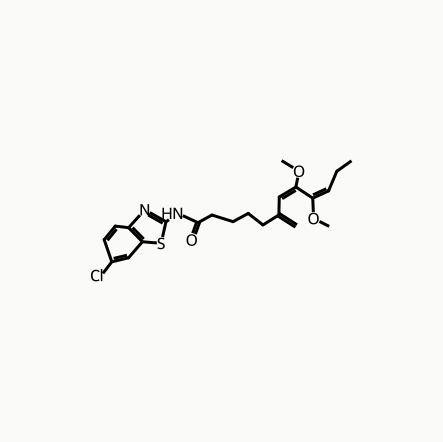 C=C(/C=C(OC)\C(=C/CC)OC)CCCCC(=O)Nc1nc2ccc(Cl)cc2s1